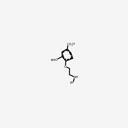 COc1cc(C(=O)O)ccc1OCCNC(C)C